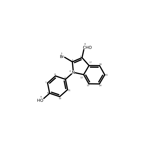 O=Cc1c(Br)n(-c2ccc(O)cc2)c2ccccc12